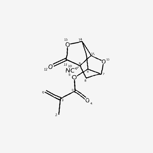 C=C(C)C(=O)OC1C2C[C@@]3(C#N)C(=O)OC1C3O2